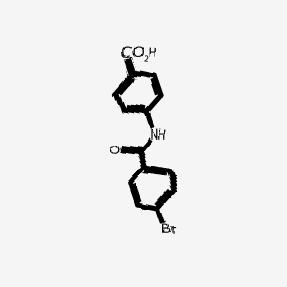 O=C(O)c1ccc(NC(=O)c2ccc(Br)cc2)cc1